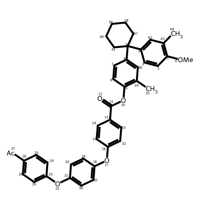 COc1ccc(C2(c3ccc(OC(=O)c4ccc(Oc5ccc(Oc6ccc(C(C)=O)cc6)cc5)cc4)c(C)c3)CCCCC2)cc1C